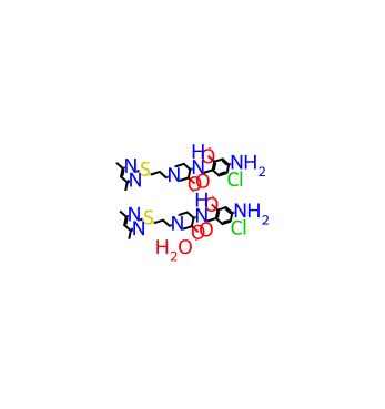 COc1cc(N)c(Cl)cc1C(=O)NC1CCN(CCCSc2nc(C)cc(C)n2)CC1OC.COc1cc(N)c(Cl)cc1C(=O)NC1CCN(CCCSc2nc(C)cc(C)n2)CC1OC.O